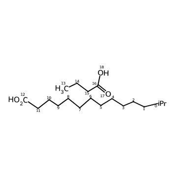 CC(C)CCCCCCCCCCCC(=O)O.CCCC(=O)O